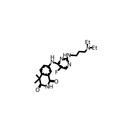 CCN(CC)CCCNc1ncc(F)c(Nc2ccc3c(c2)C(=O)NC(=O)C3(C)C)n1